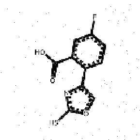 O=C(O)c1cc(F)ccc1-c1coc(S)n1